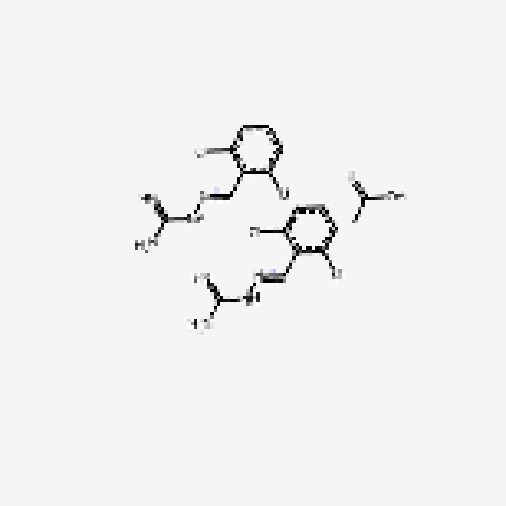 CC(=O)O.N=C(N)N/N=C/c1c(Cl)cccc1Cl.N=C(N)N/N=C/c1c(Cl)cccc1Cl